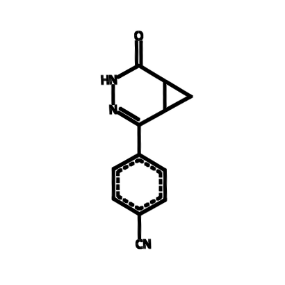 N#Cc1ccc(C2=NNC(=O)C3CC23)cc1